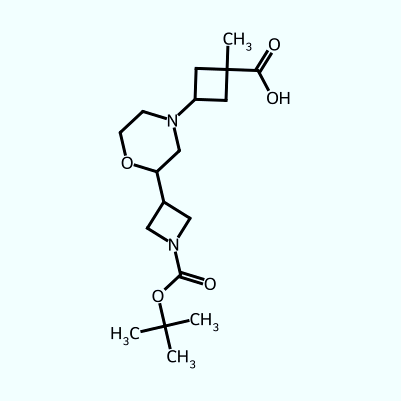 CC(C)(C)OC(=O)N1CC(C2CN(C3CC(C)(C(=O)O)C3)CCO2)C1